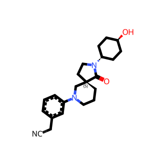 N#CCc1cccc(N2CCC[C@]3(CCN([C@H]4CC[C@H](O)CC4)C3=O)C2)c1